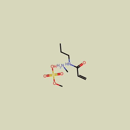 C=CC(=O)NCCC.CN.COS(=O)(=O)O